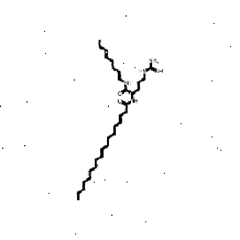 CCCCCCCCCCCCCCCCCC(=O)NC(CCCNC(=N)N)C(=O)NCCCCCCCC